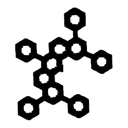 c1ccc(-c2cc(-c3ccccc3)c3ccc4c(-c5ccccc5)c5ccc6c(-c7ccccc7)cc(-c7ccccc7)cc6c5nc4c3c2)cc1